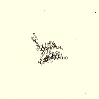 C=CCCOc1cc(C(=O)NCCCN2CCC(F)CC2)cc2c1N(C/C=C/Cn1c(NC(=O)c3cc(C)nn3CC)nc3cc(C=O)cc(C)c31)C(NC(=O)c1cc(C)nn1CC)N2